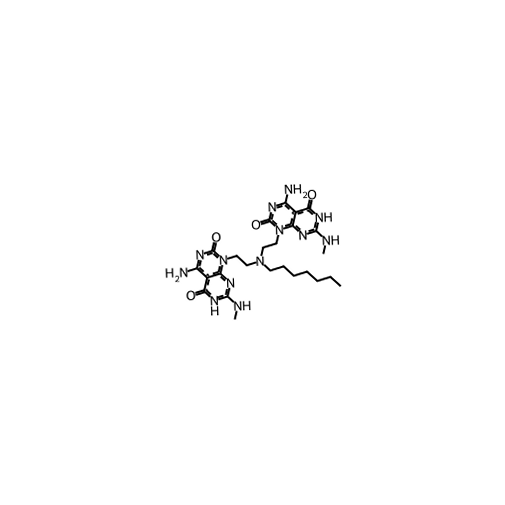 CCCCCCCN(CCn1c(=O)nc(N)c2c(=O)[nH]c(NC)nc21)CCn1c(=O)nc(N)c2c(=O)[nH]c(NC)nc21